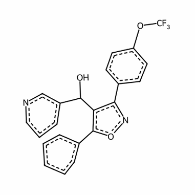 OC(c1cccnc1)c1c(-c2ccc(OC(F)(F)F)cc2)noc1-c1ccccc1